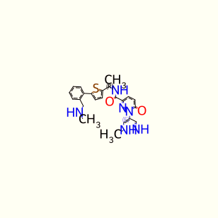 CN/C=C(\C=N)n1nc(C(=O)N[C@H](C)c2ccc(-c3ccccc3CNC)s2)ccc1=O